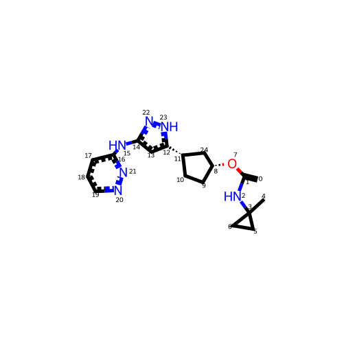 C=C(NC1(C)CC1)O[C@@H]1CC[C@H](c2cc(Nc3cccnn3)n[nH]2)C1